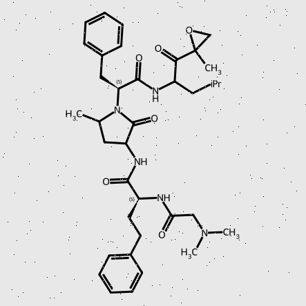 CC(C)CC(NC(=O)[C@H](Cc1ccccc1)N1C(=O)C(NC(=O)[C@H](CCc2ccccc2)NC(=O)CN(C)C)CC1C)C(=O)C1(C)CO1